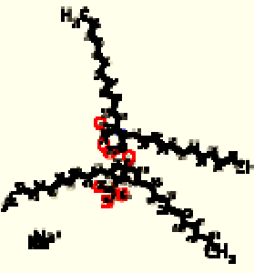 CCCCCCCCCCCC/C(C(=O)[O-])=C(\CCCCCCCCCCCC)C(=O)OC(CCCCCCCCCCCC)(CCCCCCCCCCCC)CCS(=O)(=O)[O-].[Na+].[Na+]